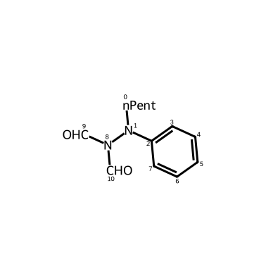 CCCCCN(c1ccccc1)N(C=O)C=O